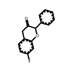 O=C1Cc2ccc(F)cc2OC1c1ccccc1